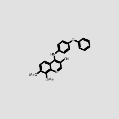 COc1ccc2c(Nc3ccc(Oc4ccccc4)cc3)c(C#N)cnc2c1OC